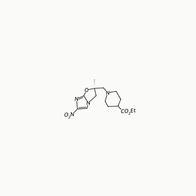 CCOC(=O)C1CCN(C[C@@]2(C)Cn3cc([N+](=O)[O-])nc3O2)CC1